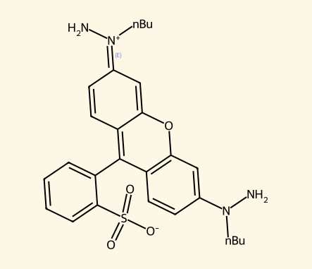 CCCCN(N)c1ccc2c(-c3ccccc3S(=O)(=O)[O-])c3cc/c(=[N+](\N)CCCC)cc-3oc2c1